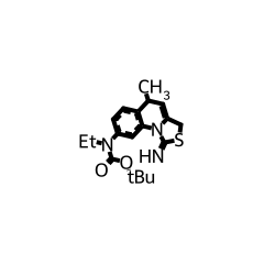 CCN(C(=O)OC(C)(C)C)c1ccc2c(c1)N1C(=N)SCC1=CC2C